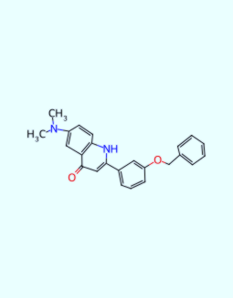 CN(C)c1ccc2[nH]c(-c3cccc(OCc4ccccc4)c3)cc(=O)c2c1